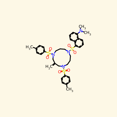 C=C1CN(S(=O)(=O)c2ccc(C)cc2)CCCN(S(=O)(=O)c2cccc3c(N(C)C)cccc23)CCCN(S(=O)(=O)c2ccc(C)cc2)C1